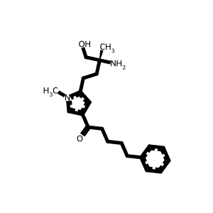 Cn1cc(C(=O)CCCCc2ccccc2)cc1CC[C@@](C)(N)CO